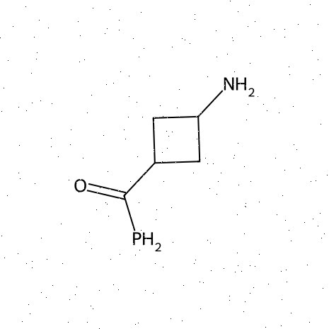 NC1CC(C(=O)P)C1